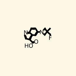 CC1(CF)CN(c2ccc3nccc(C(=O)O)c3c2)C1